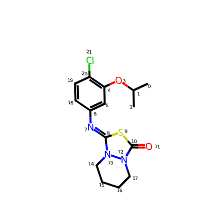 CC(C)Oc1cc(/N=c2\sc(=O)n3n2CCCC3)ccc1Cl